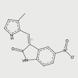 Cc1cc[nH]c1/C=C1\C(=O)Nc2ccc([N+](=O)[O-])cc21